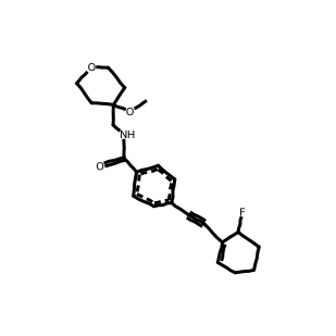 COC1(CNC(=O)c2ccc(C#CC3=CCCCC3F)cc2)CCOCC1